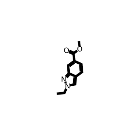 CCn1cc2ccc(C(=O)OC)cc2n1